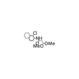 COC(CC(=O)Nc1ccc2c(c1Cl)CCCC2)OC